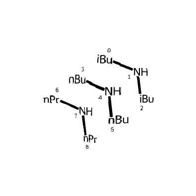 CCC(C)NC(C)CC.CCCCNCCCC.CCCNCCC